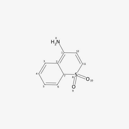 NC1=C2C=CC=CC2S(=O)(=O)C=C1